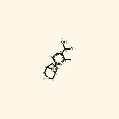 Cc1nc(N2C3CCC2COC3)ccc1C(=O)O